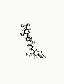 C=C(NC)N(C)/C(N)=C(/NCC(=O)NC1NC(c2ccc(N(CC)CC)cc2OCC)=CS1)C(C)=O